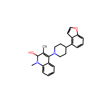 CN1c2ccccc2C(N2CCC(c3cccc4occc34)CC2)=C(C#N)C1O